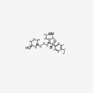 CCc1ccc(S(=O)(=O)N(CCCN2CCCC(O)C2)C2CCNCC2)cc1